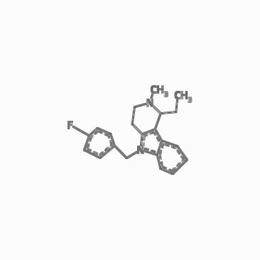 CCC1c2c(n(Cc3ccc(F)cc3)c3ccccc23)CCN1C